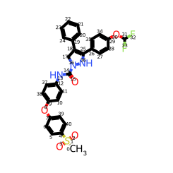 CS(=O)(=O)c1ccc(Oc2ccc(NC(=O)N3CC(c4ccccc4)=C(c4ccc(OC(F)F)cc4)N3)cc2)cc1